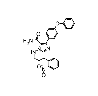 NC(=O)c1c(-c2ccc(Oc3ccccc3)cc2)nc2n1NCCC2c1ccccc1[N+](=O)[O-]